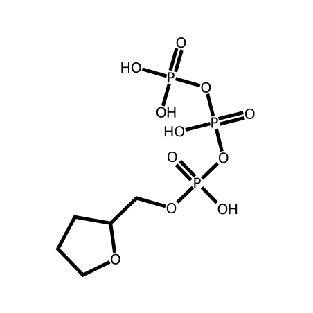 O=P(O)(O)OP(=O)(O)OP(=O)(O)OCC1CCCO1